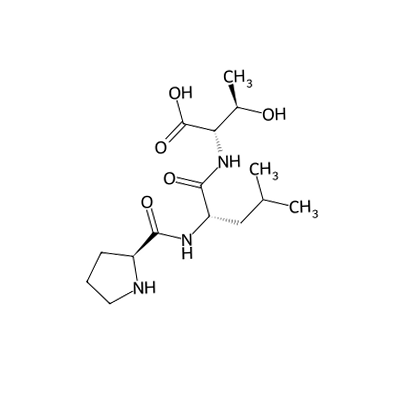 CC(C)C[C@H](NC(=O)[C@@H]1CCCN1)C(=O)N[C@H](C(=O)O)[C@@H](C)O